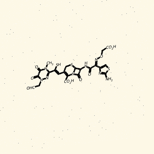 Cn1c(C(S)=CC2=C(C(=O)O)N3C(=O)C(NC(=O)C(=NOCC(=O)O)c4csc(N)n4)C3SC2)nn(CC=O)c(=O)c1=O